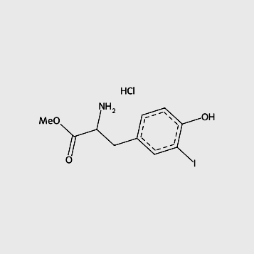 COC(=O)C(N)Cc1ccc(O)c(I)c1.Cl